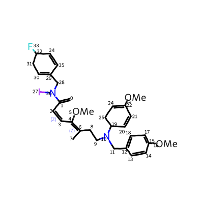 C=C(/C=C\C(OC)=C(/C)CCN(Cc1ccc(OC)cc1)C1C=CC(OC)=CC1)N(I)CC1=CCC(F)C=C1